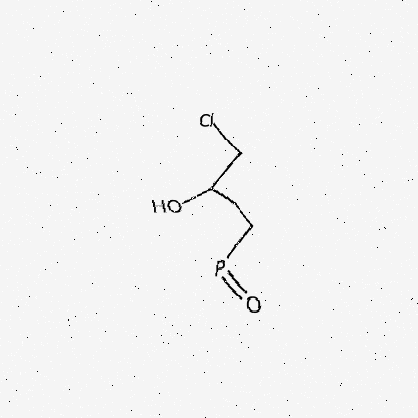 O=PCC(O)CCl